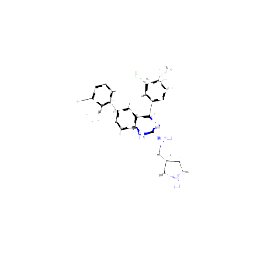 Cc1cccc(-c2ccc3nc(NCC4CCNC4)nc(-c4ccc(C#N)c(F)c4)c3c2)c1C(F)(F)F